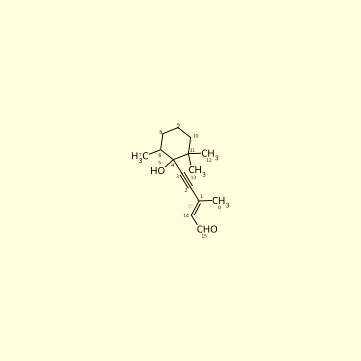 C/C(C#CC1(O)C(C)CCCC1(C)C)=C\C=O